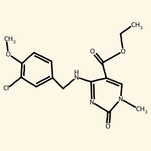 CCOC(=O)c1cn(C)c(=O)nc1NCc1ccc(OC)c(Cl)c1